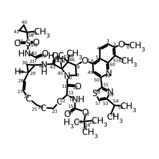 COc1ccc2c(O[C@H]3CN4C(=O)[C@@H](NC(=O)OC(C)(C)C)CCCCC/C=C\[C@@H]5C[C@@]5(C(=O)NS(=O)(=O)C5(C)CC5)NC(=O)[C@@H]4C3(C)C)cc(-c3nc(C(C)C)cs3)nc2c1C